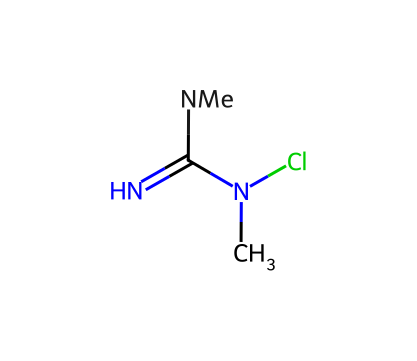 CNC(=N)N(C)Cl